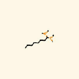 CCCCCCCC(P(C)C)P(C)C